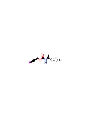 CCOC(=O)[C@H](C)NC(=O)OCC#CI